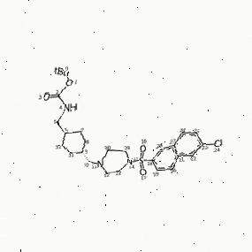 CC(C)(C)OC(=O)NC[C@H]1CC[C@H](CN2CCN(S(=O)(=O)c3ccc4cc(Cl)ccc4c3)CC2)CC1